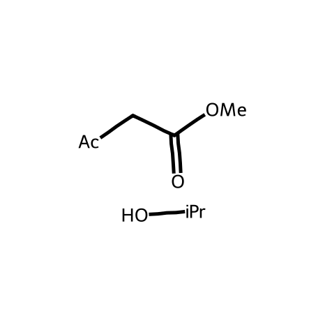 CC(C)O.COC(=O)CC(C)=O